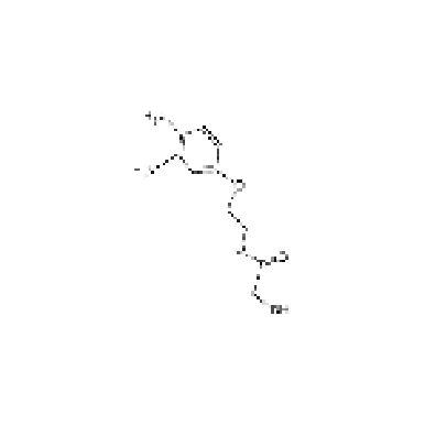 Cc1ccc(OCCOC(=O)C[NH])cc1N